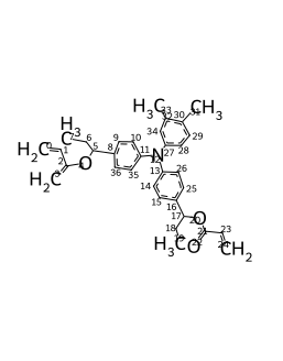 C=CC(=C)OC(CC)c1ccc(N(c2ccc(C(CC)OC(=O)C=C)cc2)c2ccc(C)c(C)c2)cc1